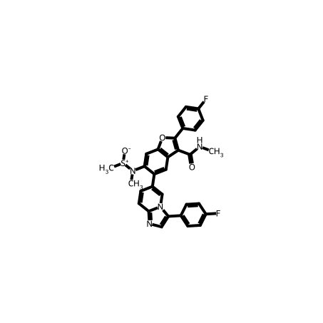 CNC(=O)c1c(-c2ccc(F)cc2)oc2cc(N(C)[S+](C)[O-])c(-c3ccc4ncc(-c5ccc(F)cc5)n4c3)cc12